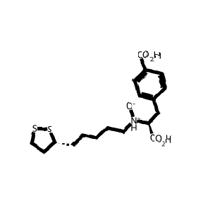 O=C(O)c1ccc(C[C@@H](C(=O)O)[NH+]([O-])CCCCC[C@@H]2CCSS2)cc1